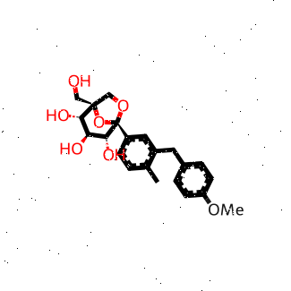 COc1ccc(Cc2cc([C@]34OC[C@](CO)(O3)[C@@H](O)[C@H](O)[C@H]4O)ccc2C)cc1